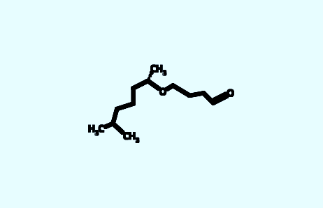 CC(C)CCC[C@H](C)OCCCC=O